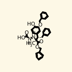 C[C@@](NNC(=O)O)(C(=O)OCc1ccccc1)[C@@H](Cc1ccccc1)c1ccc(O)c(OCc2ccccc2)c1